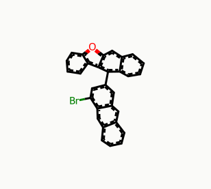 Brc1cc(-c2c3ccccc3cc3oc4ccccc4c23)cc2cc3ccccc3cc12